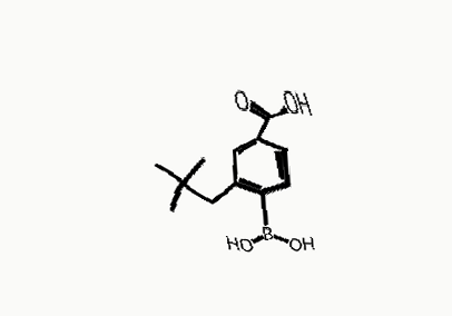 CC(C)(C)Cc1cc(C(=O)O)ccc1B(O)O